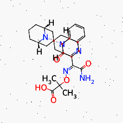 CC(C)(O/N=C(\C(N)=O)c1nc2ccccc2n([C@H]2C[C@H]3CCC[C@@H](C2)N3[C@H]2C[C@@H]3CCC[C@@H](C3)C2)c1=O)C(=O)O